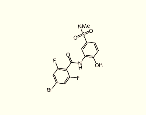 CNS(=O)(=O)c1ccc(O)c(NC(=O)c2c(F)cc(Br)cc2F)c1